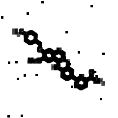 COc1cc2c(Nc3ccc(-c4nccc(C(N)=O)n4)cc3F)ncnc2cc1OCC1CCN(C)CC1